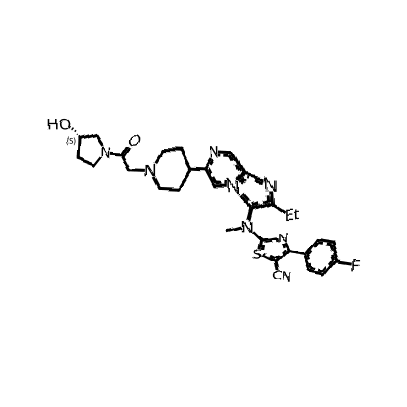 CCc1nc2cnc(C3CCN(CC(=O)N4CC[C@H](O)C4)CC3)cn2c1N(C)c1nc(-c2ccc(F)cc2)c(C#N)s1